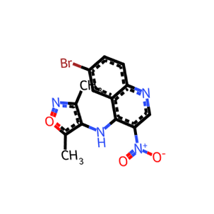 Cc1noc(C)c1Nc1c([N+](=O)[O-])cnc2ccc(Br)cc12